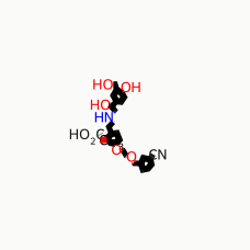 CC(=O)O.N#Cc1cccc(COCCOc2ccc(CCNC[C@H](O)c3ccc(O)c(CO)c3)cc2)c1